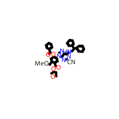 COCc1cc(OC(=O)c2ccccc2)c(-n2cnc3c(NCC(c4ccccc4)c4ccccc4)nc(C#N)nc32)cc1C(=O)OC1CCOC1